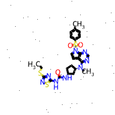 CCSc1nsc(NC(=O)N[C@@H]2CC[C@H](N(C)c3ncnc4c3ccn4S(=O)(=O)c3ccc(C)cc3)C2)n1